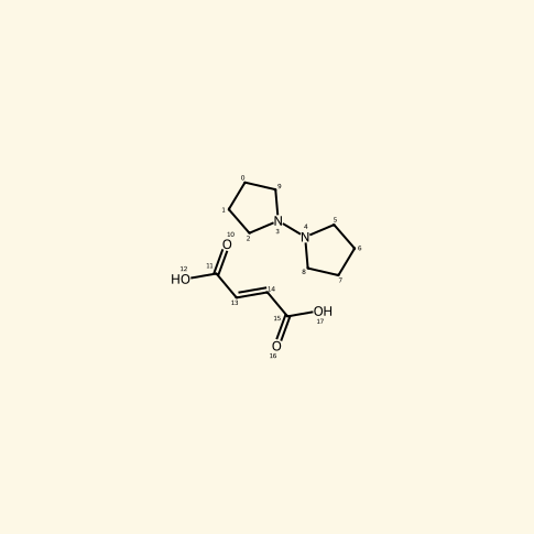 C1CCN(N2CCCC2)C1.O=C(O)C=CC(=O)O